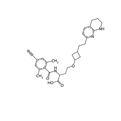 Cc1cc(C#N)cc(C)c1C(=O)NC(CCOC1CC(CCc2ccc3c(n2)NCCC3)C1)C(=O)O